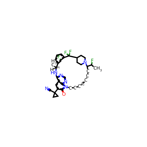 CC(F)C1CCCCCCCn2c(=O)c(C3(C#N)CC3)cc3c(ncnc32)N[C@H](C)c2cccc(c2F)C(F)(F)C2CCN1CC2